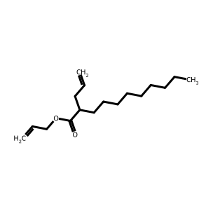 C=CCOC(=O)C(CC=C)CCCCCCCCC